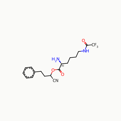 N#CC(CCc1ccccc1)OC(=O)[C@@H](N)CCCCNC(=O)C(F)(F)F